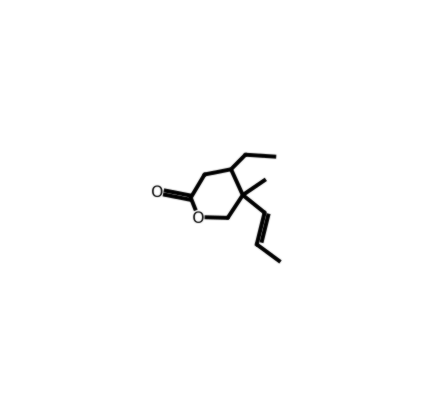 CC=CC1(C)COC(=O)CC1CC